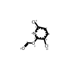 O=COc1nc(Cl)ccc1Cl